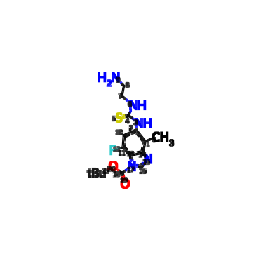 Cc1c(NC(=S)NCCN)cc(F)c2c1ncn2C(=O)OC(C)(C)C